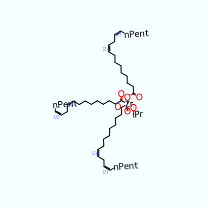 CCCCC/C=C\C/C=C\CCCCCCCC(=O)[O][Zr](=[O])([O]C(C)C)([C](=O)CCCCCCC/C=C\C/C=C\CCCCC)[C](=O)CCCCCCC/C=C\C/C=C\CCCCC